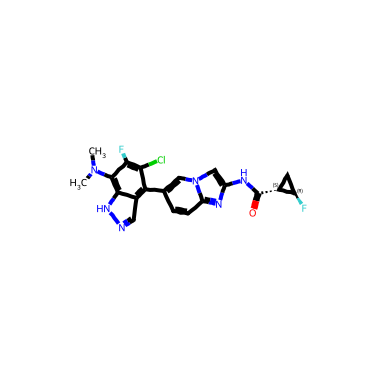 CN(C)c1c(F)c(Cl)c(-c2ccc3nc(NC(=O)[C@@H]4C[C@H]4F)cn3c2)c2cn[nH]c12